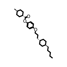 CCCCC[C@H]1CC[C@H](CCCOc2ccc(OC(=O)[C@H]3CC[C@H](C)CC3)cc2)CC1